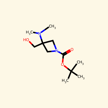 CN(C)C1(CO)CN(C(=O)OC(C)(C)C)C1